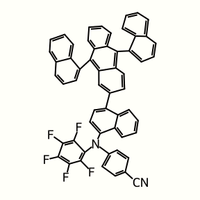 N#Cc1ccc(N(c2c(F)c(F)c(F)c(F)c2F)c2ccc(-c3ccc4c(-c5cccc6ccccc56)c5ccccc5c(-c5cccc6ccccc56)c4c3)c3ccccc23)cc1